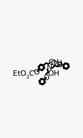 CCOC(=O)COc1ccc(C[C@@H](C)N(C[C@H](O)COc2ccccc2)C[C@H](O)COc2ccccc2)cc1